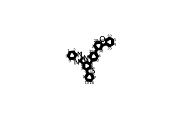 c1ccc2nc3c(nc2c1)c1cc2c4ccccc4sc2c2c4ccc(-c5ccc6oc7ccccc7c6c5)cc4n3c12